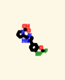 O=C(O)N1CCCC1c1ncc(-c2ccc(Br)c(OC(F)F)c2)[nH]1